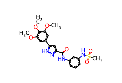 COc1cc(-c2cc(C(=O)Nc3cccc(NS(C)(=O)=O)c3)n[nH]2)cc(OC)c1OC